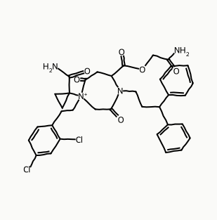 NC(=O)COC(=O)C1CC(=O)[N+](CCc2ccc(Cl)cc2Cl)(C2(C(N)=O)CC2)CC(=O)N1CCC(c1ccccc1)c1ccccc1